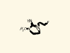 CN1CCN(CCF)C1=N